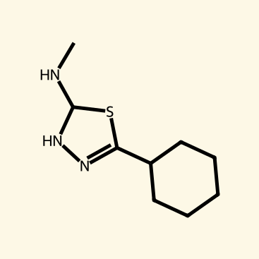 CNC1NN=C(C2CCCCC2)S1